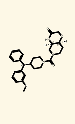 COc1cccc([C@@H](c2ccccc2)C2CCN(C(=O)N3CC[C@@H]4OCC(=O)N[C@@H]4C3)CC2)c1